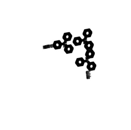 [Cl-].[Cl-].[Cl-].[Cl-].[Cl-].[Cl-].[Rh+3].c1ccc([PH+](c2ccccc2)c2ccccc2)cc1.c1ccc([PH+](c2ccccc2)c2ccccc2)cc1.c1ccc([PH+](c2ccccc2)c2ccccc2)cc1